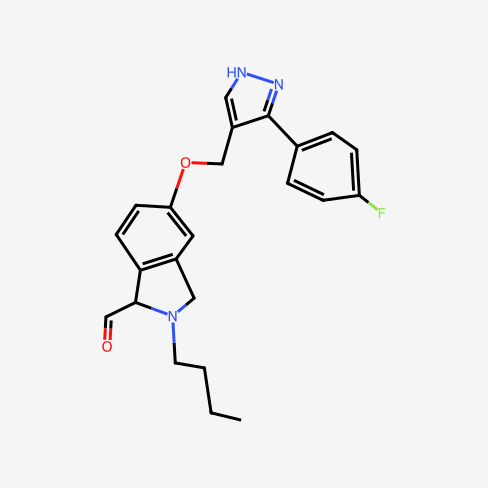 CCCCN1Cc2cc(OCc3c[nH]nc3-c3ccc(F)cc3)ccc2C1C=O